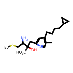 CCSCC(N)C(O)(Cc1cc(CCCCC2CC2)c(C)cn1)C(=O)O